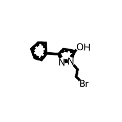 Oc1cc(-c2ccccc2)nn1CCBr